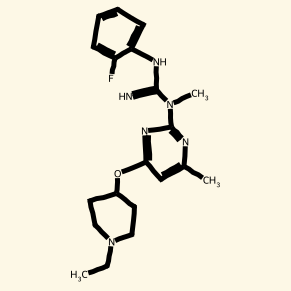 CCN1CCC(Oc2cc(C)nc(N(C)C(=N)Nc3ccccc3F)n2)CC1